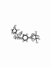 Cn1cnc(S(=O)(=O)Nc2ccc(B3OC(C)(C)C(C)(C)O3)cc2F)c1